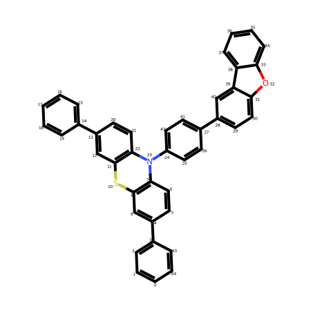 c1ccc(-c2ccc3c(c2)Sc2cc(-c4ccccc4)ccc2N3c2ccc(-c3ccc4oc5ccccc5c4c3)cc2)cc1